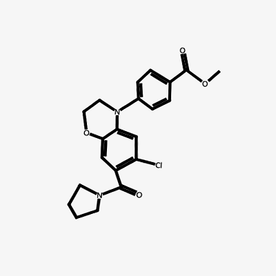 COC(=O)c1ccc(N2CCOc3cc(C(=O)N4CCCC4)c(Cl)cc32)cc1